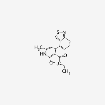 CCOC(=O)C1=C(C)NC(C)=CC1c1cccc2nsnc12